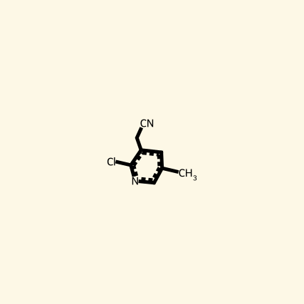 Cc1cnc(Cl)c(CC#N)c1